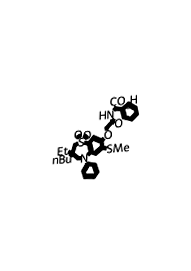 CCCCC1(CC)CN(c2ccccc2)c2cc(SC)c(OCC(=O)N[C@H](C(=O)O)c3ccccc3)cc2S(=O)(=O)C1